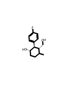 CC1CC[C@H](O)[C@@H](c2ccc(F)cc2)[C@@H]1CO